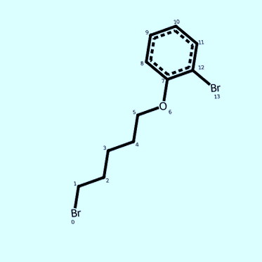 BrCCCCCOc1ccccc1Br